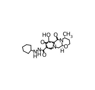 C[C@@H]1CCO[C@H]2Cn3cc(C(=O)NNC4CCCCC4)c(=O)c(O)c3C(=O)N12